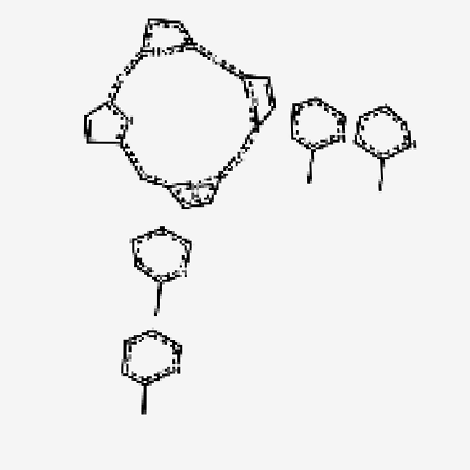 C1=Cc2cc3ccc(cc4nc(cc5ccc(cc1n2)[nH]5)C=C4)[nH]3.Cc1ccccn1.Cc1ccccn1.Cc1ccccn1.Cc1ccccn1